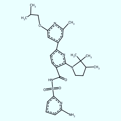 Cc1cc(-c2ccc(C(=O)NS(=O)(=O)c3cccc(N)n3)c(N3CCC(C)C3(C)C)n2)cc(OCC(C)C)n1